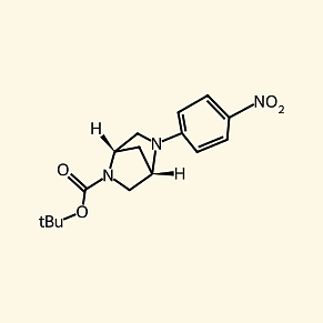 CC(C)(C)OC(=O)N1C[C@@H]2C[C@H]1CN2c1ccc([N+](=O)[O-])cc1